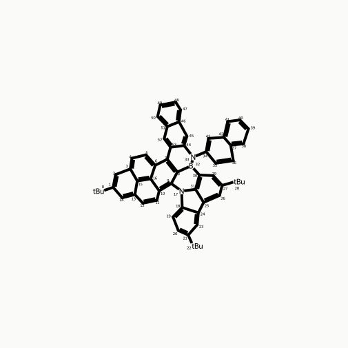 CC(C)(C)c1cc2ccc3c4c5c(c6ccc(c1)c2c36)-n1c2ccc(C(C)(C)C)cc2c2cc(C(C)(C)C)cc(c21)B5N(c1ccc2ccccc2c1)c1cc2ccccc2cc1-4